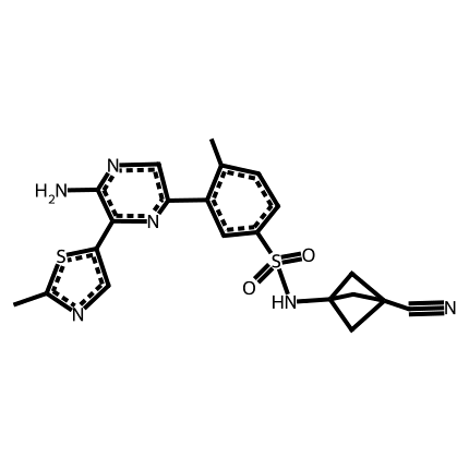 Cc1ncc(-c2nc(-c3cc(S(=O)(=O)NC45CC(C#N)(C4)C5)ccc3C)cnc2N)s1